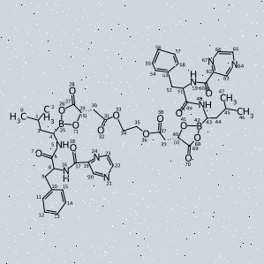 CC(C)CC(NC(=O)C(Cc1ccccc1)NC(=O)c1cnccn1)B1OC(=O)[C@H](CC(=O)OCCOC(=O)C[C@@H]2OB(C(CC(C)C)NC(=O)C(Cc3ccccc3)NC(=O)c3cnccn3)OC2=O)O1